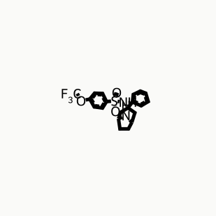 O=S(=O)(NC1(c2ccccc2)CC2CCC(C1)N2)c1ccc(OC(F)(F)F)cc1